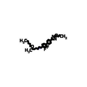 C=CCOc1ncc(-c2ccc(-c3ccc(/C=C/CCCC(C)OCCCCC)c(F)c3F)cc2)cn1